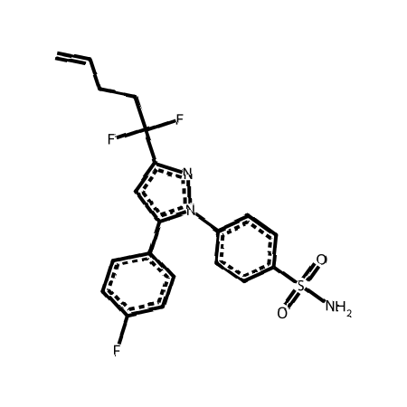 C=CCCC(F)(F)c1cc(-c2ccc(F)cc2)n(-c2ccc(S(N)(=O)=O)cc2)n1